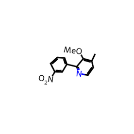 COc1c(C)ccnc1-c1cccc([N+](=O)[O-])c1